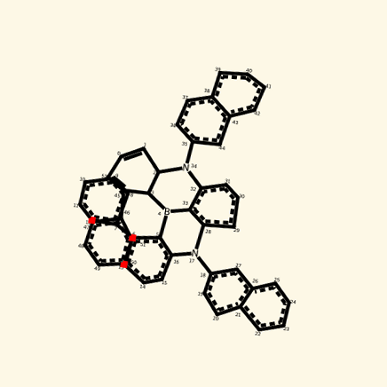 C1=CC2C(B3c4c(-c5ccccc5)cccc4N(c4ccc5ccccc5c4)c4cccc(c43)N2c2ccc3ccccc3c2)C(c2ccccc2)=C1